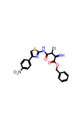 CCC(C(=N)C(=O)OCc1ccccc1)C(=O)Nc1nc(-c2ccc([N+](=O)[O-])cc2)cs1